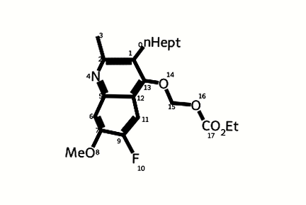 CCCCCCCc1c(C)nc2cc(OC)c(F)cc2c1OCOC(=O)OCC